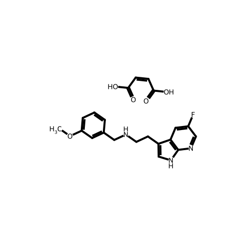 COc1cccc(CNCCc2c[nH]c3ncc(F)cc23)c1.O=C(O)/C=C\C(=O)O